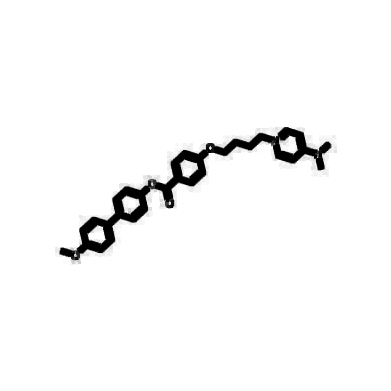 COc1ccc(-c2ccc(OC(=O)c3ccc(OCCCC[n+]4ccc(N(C)C)cc4)cc3)cc2)cc1